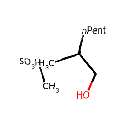 CCCCCC(C)CO.CS(=O)(=O)O